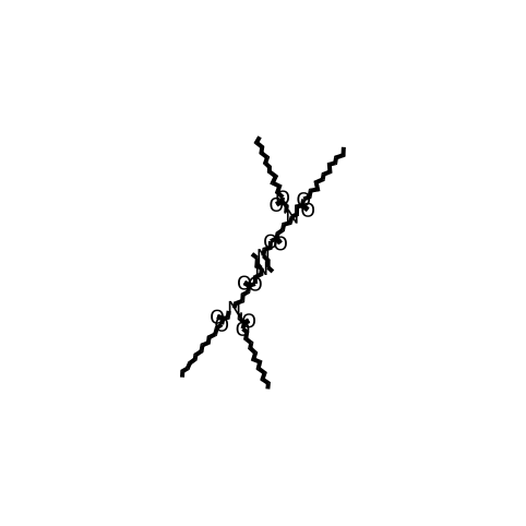 CCCCCCCCCCCCOC(=O)CCN(CCCCC(=O)OCCN1CC(C)N(CCOC(=O)CCCCN(CCC(=O)OCCCCCCCCCCCC)CCC(=O)OCCCCCCCCCCCC)CC1C)CCC(=O)OCCCCCCCCCCCC